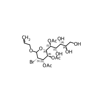 C=CCOC1O[C@H]([C@@H](OC(C)=O)[C@@H](O)[C@H](O)[C@H](O)CO)[C@@H](OC(C)=O)[C@H](OC(C)=O)[C@@H]1Br